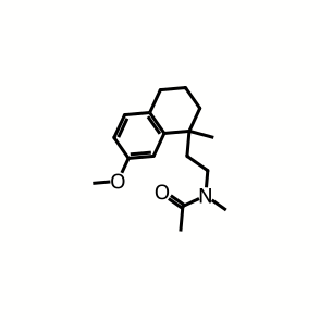 COc1ccc2c(c1)C(C)(CCN(C)C(C)=O)CCC2